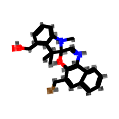 CN1c2cccc(CO)c2C(C)(C)C12C=Nc1c(c(CBr)cc3ccccc13)O2